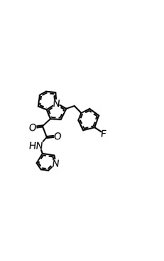 O=C(Nc1cccnc1)C(=O)c1cc(Cc2ccc(F)cc2)n2ccccc12